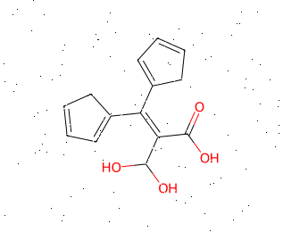 O=C(O)C(=C(C1=CC=CC1)C1=CC=CC1)C(O)O